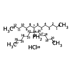 CCCCCCCC(CCCCCC)C(P)(CCCCCC)CCCCCC.Cl